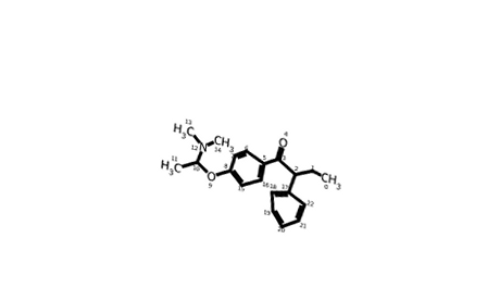 CCC(C(=O)c1ccc(OC(C)N(C)C)cc1)c1ccccc1